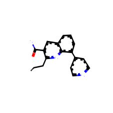 CC(C)CCc1nc2c(-c3ccncc3)cccc2cc1C(N)=O